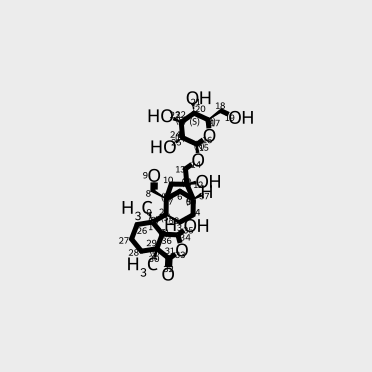 C[C@@]1([C@@H]2CC[C@@H]3C[C@@]2(C=O)C[C@]3(O)CO[C@@H]2O[C@H](CO)[C@@H](O)[C@H](O)[C@H]2O)CCC[C@@]2(C)C(=O)OC(O)[C@@H]12